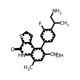 Cc1cc(O)c(-c2ccc(C(C)CN)c(F)c2)c2c1[nH]c(=O)c1sccc12.Cl